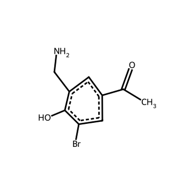 CC(=O)c1cc(Br)c(O)c(CN)c1